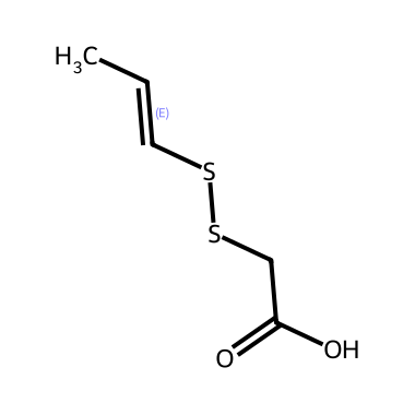 C/C=C/SSCC(=O)O